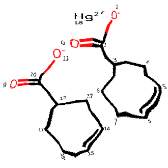 O=C([O-])C1CC=CCC1.O=C([O-])C1CC=CCC1.[Hg+2]